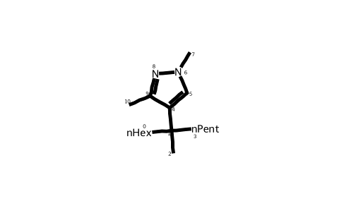 CCCCCCC(C)(CCCCC)c1cn(C)nc1C